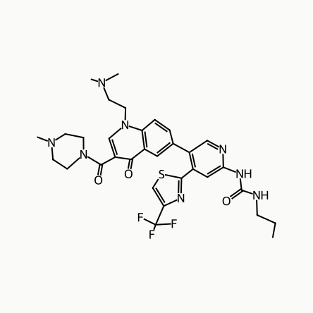 CCCNC(=O)Nc1cc(-c2nc(C(F)(F)F)cs2)c(-c2ccc3c(c2)c(=O)c(C(=O)N2CCN(C)CC2)cn3CCN(C)C)cn1